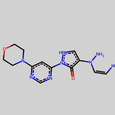 N/C=C\N(N)c1c[nH]n(-c2cc(N3CCOCC3)ncn2)c1=O